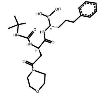 CC(C)(C)NC(=O)N[C@H](CC(=O)N1CCOCC1)C(=O)N[C@@H](CCCc1ccccc1)B(O)O